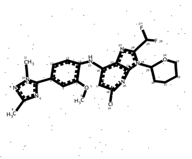 COc1cc(-c2nc(C)nn2C)ccc1Nc1cc(Cl)nc2c1nc(C(F)F)n2C1CCCCO1